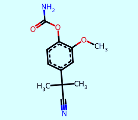 COc1cc(C(C)(C)C#N)ccc1OC(N)=O